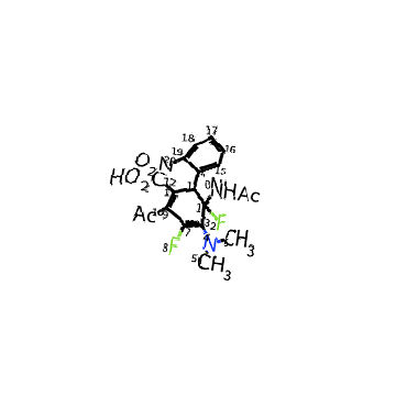 CC(=O)NC1(F)C(N(C)C)=C(F)C(C(C)=O)=C(C(=O)O)C1c1ccccc1[N+](=O)[O-]